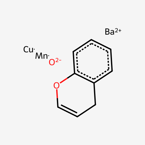 C1=COc2ccccc2C1.[Ba+2].[Cu].[Mn].[O-2]